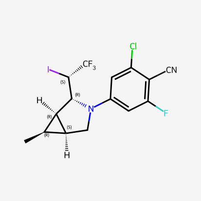 C[C@@H]1[C@@H]2CN(c3cc(F)c(C#N)c(Cl)c3)[C@@H]([C@H](I)C(F)(F)F)[C@H]12